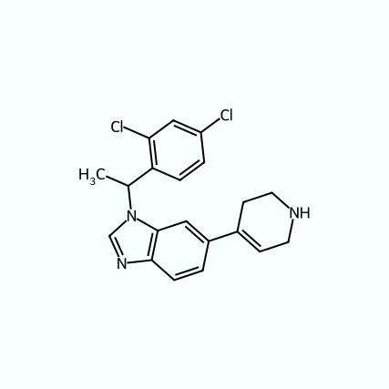 CC(c1ccc(Cl)cc1Cl)n1cnc2ccc(C3=CCNCC3)cc21